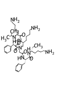 CC[C@H](CCCCN)NC(=O)[C@H](Cc1ccccc1)NC(=O)CN(C[C@H](CCCCN)NC(=O)[C@H](CCCCN)NC(C)C)S(=O)(=O)Cc1ccccc1